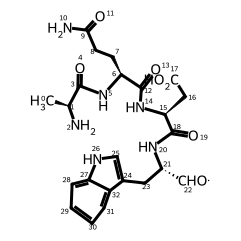 C[C@H](N)C(=O)N[C@@H](CCC(N)=O)C(=O)N[C@@H](CC(=O)O)C(=O)N[C@H]([C]=O)Cc1c[nH]c2ccccc12